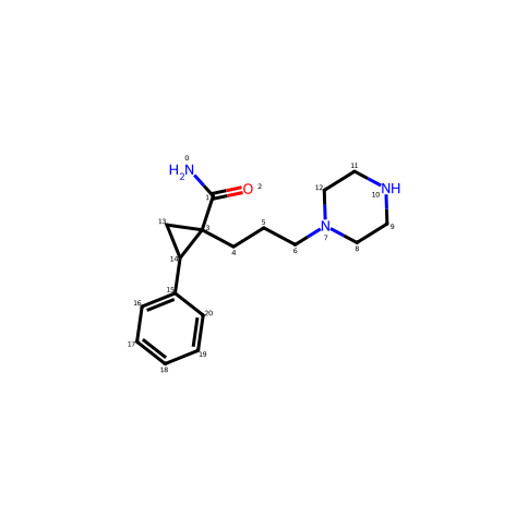 NC(=O)C1(CCCN2CCNCC2)CC1c1ccccc1